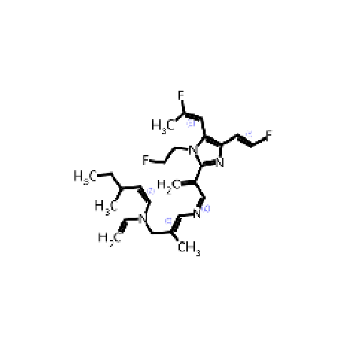 C=CN(/C=C\C(C)CC)C/C(C)=C/N=C\C(=C)c1nc(/C=C/F)c(/C=C(\C)F)n1CCF